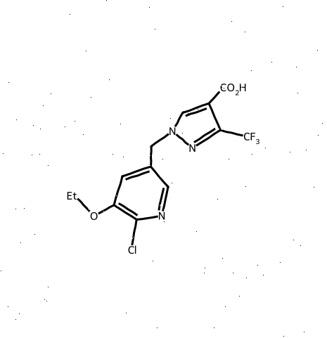 CCOc1cc(Cn2cc(C(=O)O)c(C(F)(F)F)n2)cnc1Cl